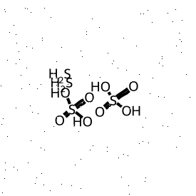 O=S(=O)(O)O.O=S(=O)(O)O.S.S